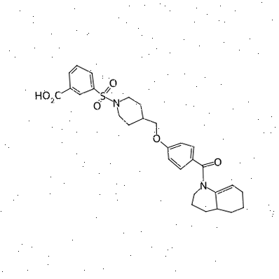 O=C(O)c1cccc(S(=O)(=O)N2CCC(COc3ccc(C(=O)N4CCCC5CCCC=C54)cc3)CC2)c1